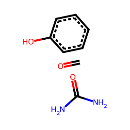 C=O.NC(N)=O.Oc1ccccc1